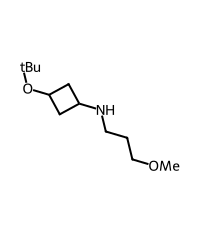 COCCCNC1CC(OC(C)(C)C)C1